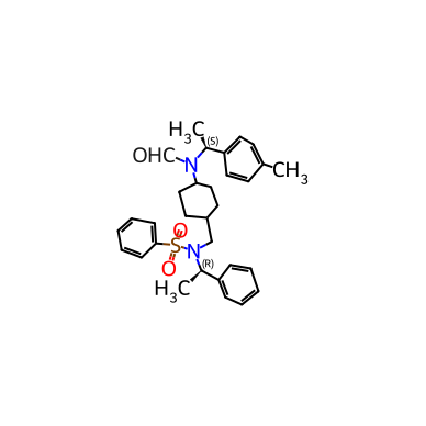 Cc1ccc([C@H](C)N(C=O)C2CCC(CN([C@H](C)c3ccccc3)S(=O)(=O)c3ccccc3)CC2)cc1